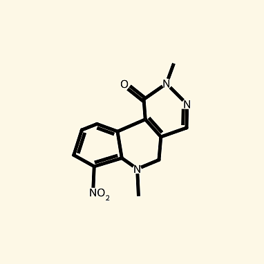 CN1Cc2cnn(C)c(=O)c2-c2cccc([N+](=O)[O-])c21